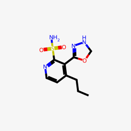 CCCc1ccnc(S(N)(=O)=O)c1C1=NNCO1